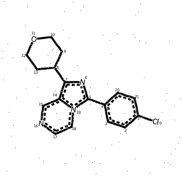 Clc1ccc(-c2nc(C3CCOCC3)c3cnccn23)cc1